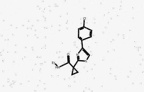 CCNC(=O)C1(c2nc(-c3ccc(Cl)cc3)cs2)CC1